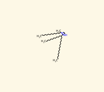 CCCCCCCCCCCCCCCCC(CCCCCCCCCCC)c1[nH]cc[n+]1C(C)CCCCCCCCCCCCC